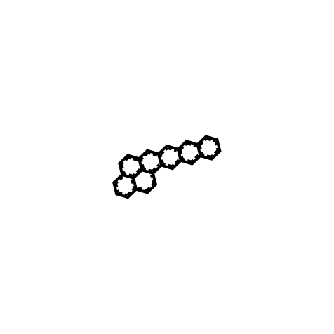 c1ccc2cc3cc4c(cc3cc2c1)cc1ccc2cccc3ccc4c1c23